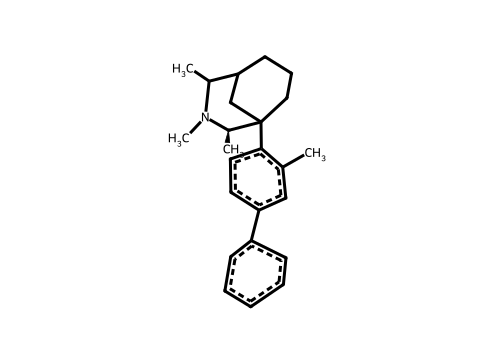 Cc1cc(-c2ccccc2)ccc1C12CCCC(C1)C(C)N(C)[C@@H]2C